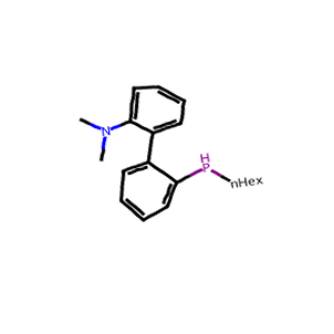 CCCCCCPc1ccccc1-c1ccccc1N(C)C